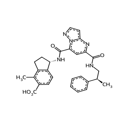 Cc1c(C(=O)O)ccc2c1CC[C@@H]2NC(=O)c1cc(C(=O)NC[C@@H](C)c2ccccc2)nc2ccnn12